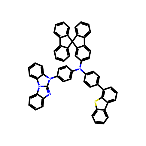 c1ccc2c(c1)-c1ccccc1C21c2ccccc2-c2ccc(N(c3ccc(-c4cccc5c4sc4ccccc45)cc3)c3ccc(-n4c5ccccc5n5c6ccccc6nc45)cc3)cc21